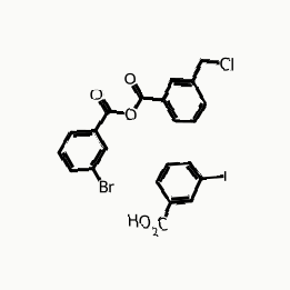 O=C(O)c1cccc(I)c1.O=C(OC(=O)c1cccc(CCl)c1)c1cccc(Br)c1